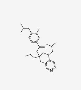 C=C(CC1(CCC)Cc2cnccc2C(CC(C)C)C1)c1ccc(CC(C)C)c(C)c1